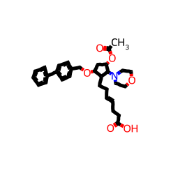 CC(=O)OC1CC(OCc2ccc(-c3ccccc3)cc2)C(CCC=CCCC(=O)O)C1N1CCOCC1